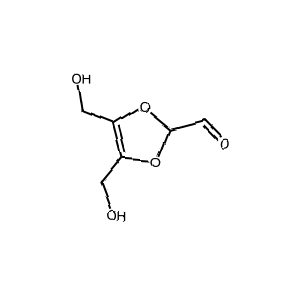 O=CC1OC(CO)=C(CO)O1